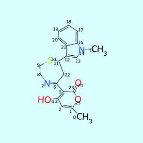 Cc1cc(O)c(C2=NCCSC(c3cn(C)c4ccccc34)C2)c(=O)o1